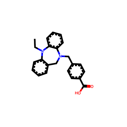 CCN1c2ccccc2CN(Cc2ccc(C(=O)O)cc2)c2ccccc21